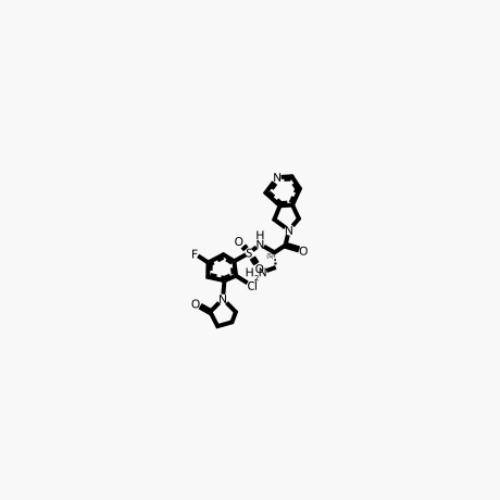 NC[C@H](NS(=O)(=O)c1cc(F)cc(N2CCCC2=O)c1Cl)C(=O)N1Cc2ccncc2C1